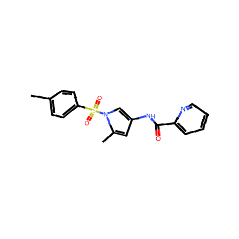 Cc1ccc(S(=O)(=O)n2cc(NC(=O)c3ccccn3)cc2C)cc1